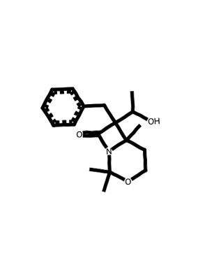 CC(O)C1(Cc2ccccc2)C(=O)N2C(C)(C)OCCC21C